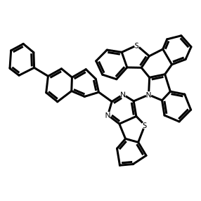 c1ccc(-c2ccc3cc(-c4nc(-n5c6ccccc6c6c7ccccc7c7sc8ccccc8c7c65)c5sc6ccccc6c5n4)ccc3c2)cc1